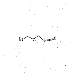 CCCOCP=O